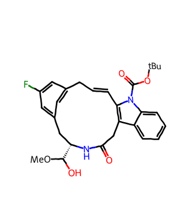 COC(O)[C@@H]1Cc2cc(F)cc(c2)C/C=C/c2c(c3ccccc3n2C(=O)OC(C)(C)C)CC(=O)N1